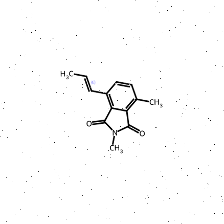 C/C=C/c1ccc(C)c2c1C(=O)N(C)C2=O